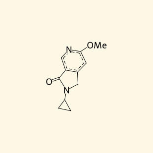 COc1cc2c(cn1)C(=O)N(C1CC1)C2